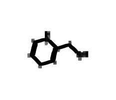 [SeH]CC1=CCC=CN1